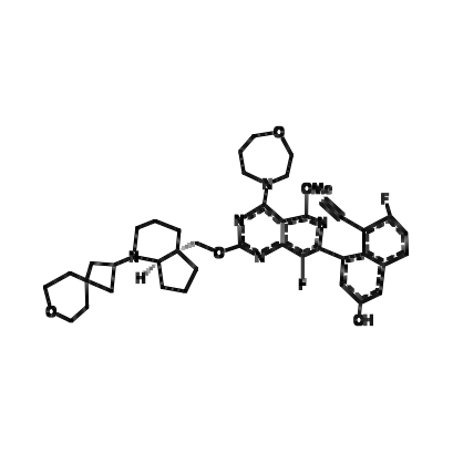 C#Cc1c(F)ccc2cc(O)cc(-c3nc(OC)c4c(N5CCCOCC5)nc(OC[C@]56CCC[C@H]5N(C5CC7(CCOCC7)C5)CCC6)nc4c3F)c12